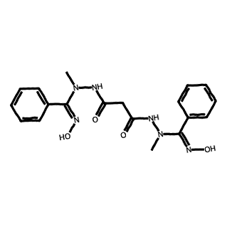 CN(NC(=O)CC(=O)NN(C)/C(=N/O)c1ccccc1)/C(=N/O)c1ccccc1